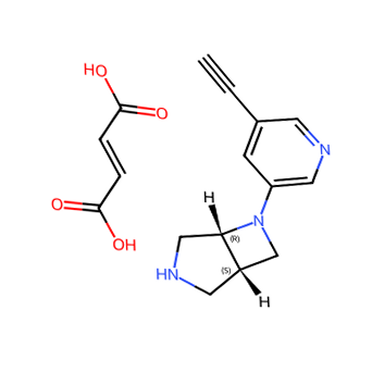 C#Cc1cncc(N2C[C@@H]3CNC[C@@H]32)c1.O=C(O)C=CC(=O)O